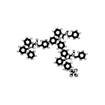 CN(CC[P+](c1ccccc1)(c1ccccc1)c1ccccc1)Cc1ccccc1.CN(CC[P+](c1ccccc1)(c1ccccc1)c1ccccc1)Cc1ccccc1.CN(CC[P+](c1ccccc1)(c1ccccc1)c1ccccc1)Cc1ccccc1.O=P([O-])([O-])[O-]